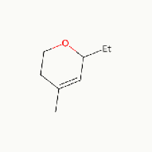 CCC1C=C(C)CCO1